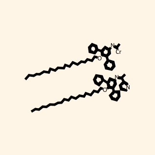 CCCCCCCCCCCCCCCCCCCCOc1c(-c2ccccc2)cc(N=C(C)c2cccnc2)cc1-c1ccccc1.CCCCCCCCCCCCCCCCCCCCOc1c(-c2ccccc2)cc(N=[C](C)[Cr])cc1-c1ccccc1